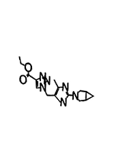 CCOC(=O)c1cn(Cc2cnc(N3CC4CC4C3)nc2C)nn1